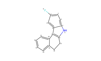 Fc1ccc2[nH]c3c(c2c1)-c1ccccc1CC3